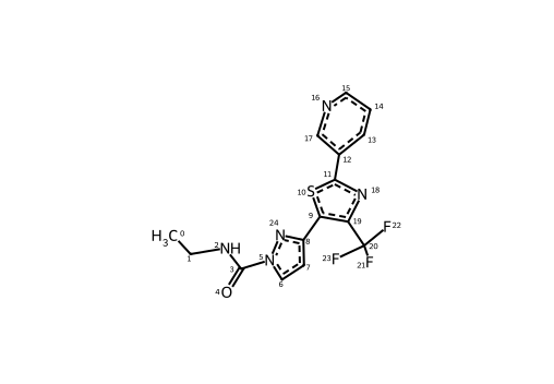 CCNC(=O)n1ccc(-c2sc(-c3cccnc3)nc2C(F)(F)F)n1